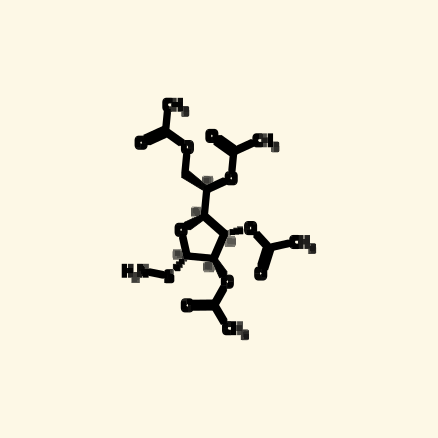 CC(=O)OC[C@@H](OC(C)=O)[C@@H]1O[C@@H](SN)[C@H](OC(C)=O)[C@H]1OC(C)=O